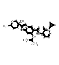 CC(C)Oc1cc2nc([C@@]3(C)CCC(C)OC3)cn2cc1C(=O)Nc1ccnn(C2CC2)c1=O